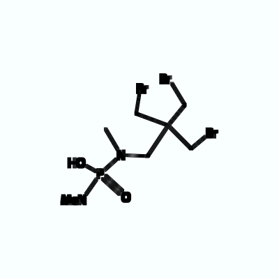 CNP(=O)(O)N(C)CC(CBr)(CBr)CBr